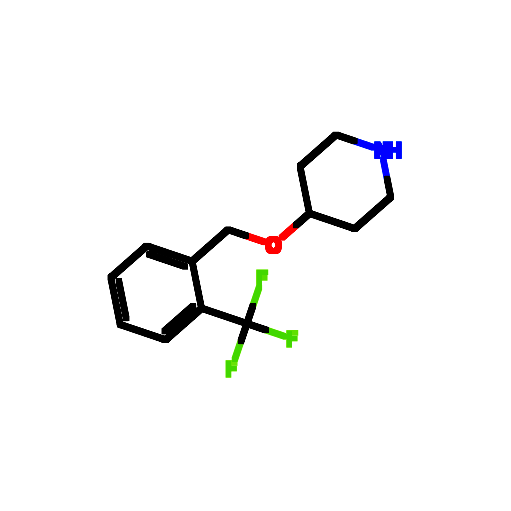 FC(F)(F)c1ccccc1COC1CCNCC1